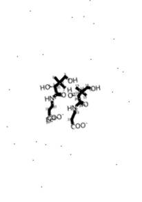 CC(C)(CO)[C@@H](O)C(=O)NCCC(=O)[O-].CC(C)(CO)[C@@H](O)C(=O)NCCC(=O)[O-].[Fe+2]